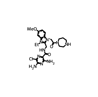 CCn1c(CNC(=O)c2nc(Cl)c(N)nc2N)[n+](CC(=O)N2CCCNCC2)c2ccc(OC)cc21